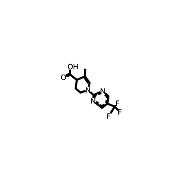 CC1=CN(c2ncc(C(F)(F)F)cn2)CCC1C(=O)O